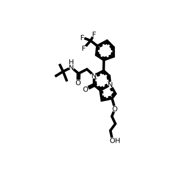 CC(C)(C)NC(=O)Cn1c(-c2cccc(C(F)(F)F)c2)cn2cc(OCCCO)cc2c1=O